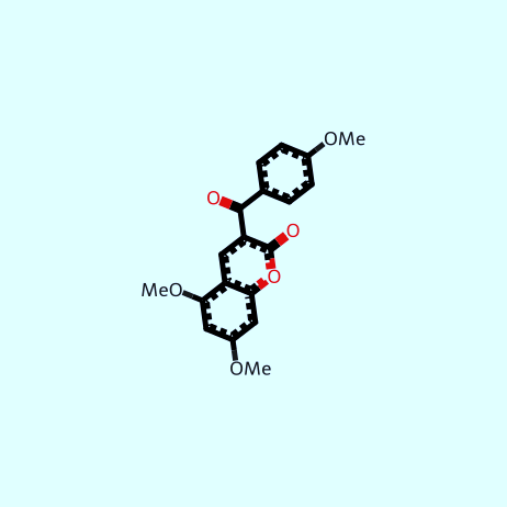 COc1ccc(C(=O)c2cc3c(OC)cc(OC)cc3oc2=O)cc1